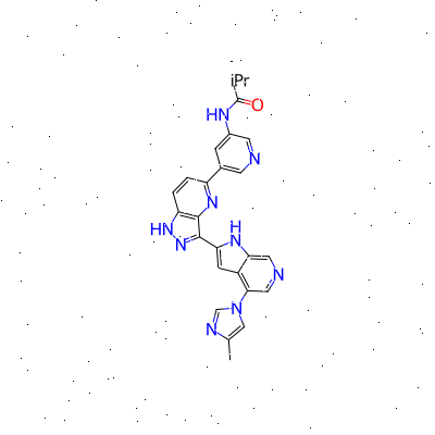 Cc1cn(-c2cncc3[nH]c(-c4n[nH]c5ccc(-c6cncc(NC(=O)C(C)C)c6)nc45)cc23)cn1